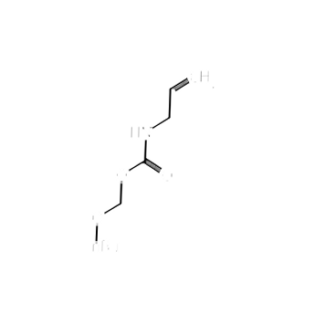 C=CCNC(=O)OCOCCCC